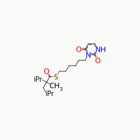 CC(C)CC(C)(C(=O)SCCCCCCn1c(=O)cc[nH]c1=O)C(C)C